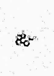 O=C(CC(F)(F)F)N1CCCC(c2nccc3nnc4[nH]ccc4c23)C1